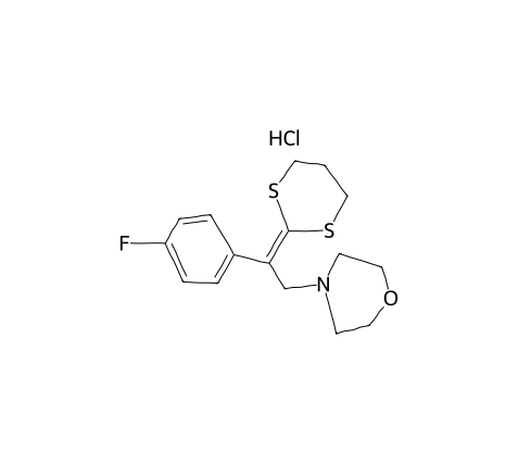 Cl.Fc1ccc(C(CN2CCOCC2)=C2SCCCS2)cc1